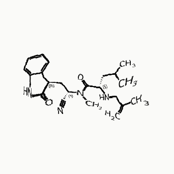 C=C(C)CN[C@@H](CC(C)C)C(=O)N(C)[C@H](C#N)C[C@H]1C(=O)Nc2ccccc21